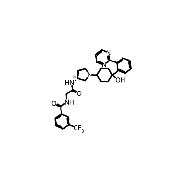 O=C(CNC(=O)c1cccc(C(F)(F)F)c1)N[C@@H]1CCN(C2CCC(O)(c3ccccc3-c3ncccn3)CC2)C1